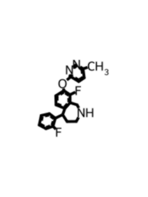 Cc1ccc(Oc2ccc3c(c2F)CNCCC3c2ccccc2F)nn1